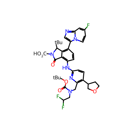 CC(C)(C)OC(=O)N(Cc1nc(Nc2ccc(-c3cnc4cc(F)ccn34)c3c2C(=O)N(C(=O)O)C3C(C)(C)C)ccc1C1CCOC1)CC(F)F